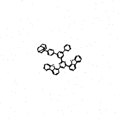 c1ccc(-c2cc(-c3ccc(C45CC6CC(CC(C6)C4)C5)cc3)cc(-c3nc(-c4cccc5c4oc4ccccc45)nc(-c4cccc5c4oc4ccccc45)n3)c2)cc1